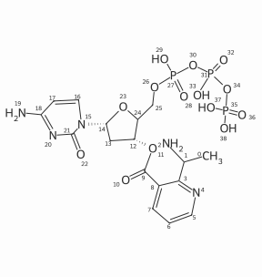 CC(N)c1ncccc1C(=O)O[C@@H]1C[C@H](n2ccc(N)nc2=O)OC1COP(=O)(O)OP(=O)(O)OP(=O)(O)O